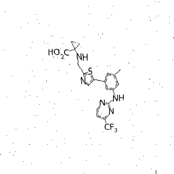 Cc1cc(Nc2nccc(C(F)(F)F)n2)cc(-c2cnc(CNC3(C(=O)O)CC3)s2)c1